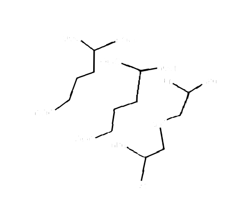 CCCCC(CC)[CH2][Sn+4][CH2]C(CC)CCCC.CCCCCCCCC(CCCC(=O)[O-])C(=O)[O-].CCCCCCCCC(CCCC(=O)[O-])C(=O)[O-]